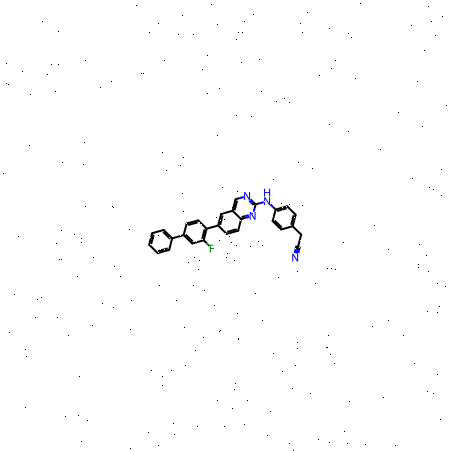 N#CCc1ccc(Nc2ncc3cc(-c4ccc(-c5ccccc5)cc4F)ccc3n2)cc1